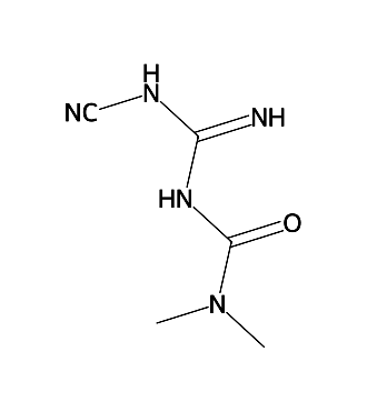 CN(C)C(=O)NC(=N)NC#N